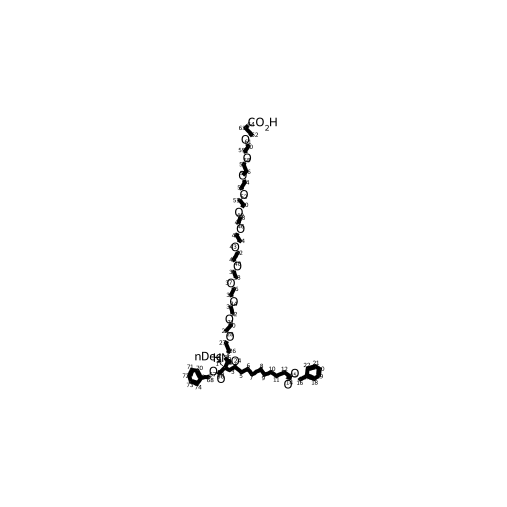 CCCCCCCCCCC[C@@](CCCCCCCCCCC(=O)OCc1ccccc1)(C(=O)NCCOCCOCCOCCOCCOCCOCCOCCOCCOCCOCCOCCOCCC(=O)O)C(=O)OCc1ccccc1